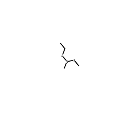 CCSN(C)SC